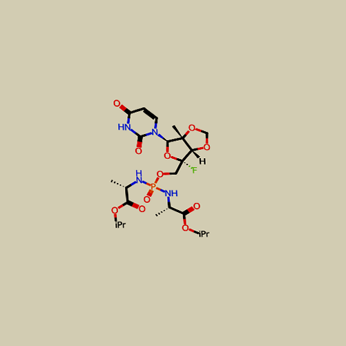 CC(C)OC(=O)[C@H](C)NP(=O)(N[C@@H](C)C(=O)OC(C)C)OC[C@@]1(F)O[C@@H](n2ccc(=O)[nH]c2=O)[C@]2(C)OCO[C@@H]21